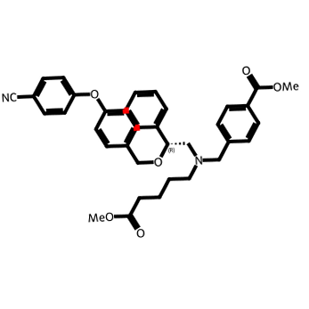 COC(=O)CCCCN(Cc1ccc(C(=O)OC)cc1)C[C@H](OCc1ccc(Oc2ccc(C#N)cc2)cc1)c1ccccc1